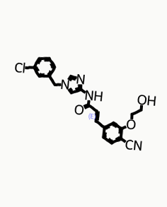 N#Cc1ccc(/C=C/C(=O)Nc2cn(Cc3cccc(Cl)c3)cn2)cc1OCCO